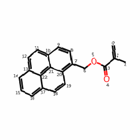 C=C(C)C(=O)OCc1ccc2ccc3cccc4ccc1c2c34